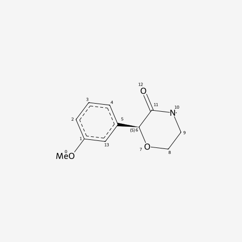 COc1cccc([C@@H]2OCC[N]C2=O)c1